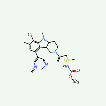 C=N/C=C(\C=N/C)c1cc(C)c(Cl)c2c1C1CN(C(=C)C[SH](C)NC(=O)OC(C)(C)C)CCC1N2C